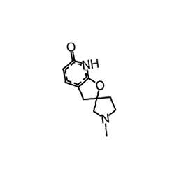 O=c1ccc2c([nH]1)OC1(CCN(I)C1)C2